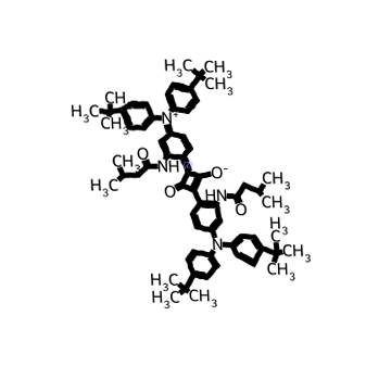 CC(C)CC(=O)NC1=CC(=[N+](c2ccc(C(C)(C)C)cc2)c2ccc(C(C)(C)C)cc2)C=C/C1=C1/C(=O)C(c2ccc(N(c3ccc(C(C)(C)C)cc3)c3ccc(C(C)(C)C)cc3)cc2NC(=O)CC(C)C)=C1[O-]